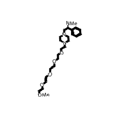 CN[C@H](CN1CCN(CCOCCOCCOCCOCCOC)CC1)c1ccccc1